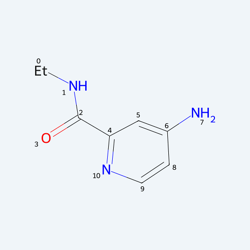 CCNC(=O)c1cc(N)ccn1